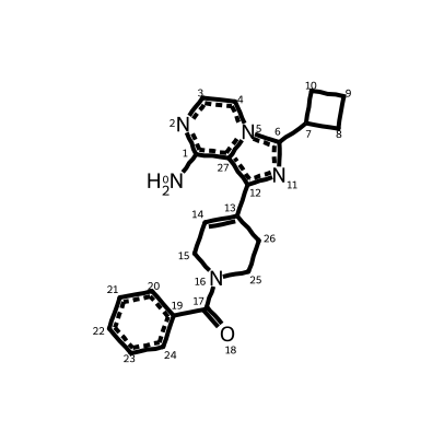 Nc1nccn2c(C3CCC3)nc(C3=CCN(C(=O)c4ccccc4)CC3)c12